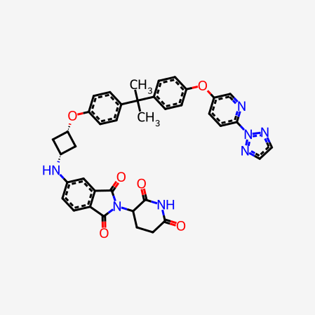 CC(C)(c1ccc(Oc2ccc(-n3nccn3)nc2)cc1)c1ccc(O[C@H]2C[C@@H](Nc3ccc4c(c3)C(=O)N(C3CCC(=O)NC3=O)C4=O)C2)cc1